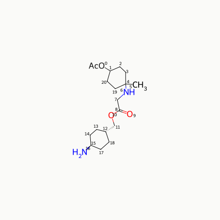 CC(=O)OC1CCC(C)(NCC(=O)OC[C@H]2CC[C@H](N)CC2)CC1